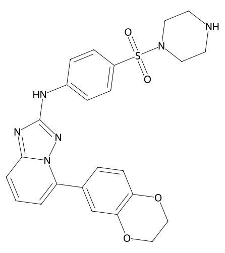 O=S(=O)(c1ccc(Nc2nc3cccc(-c4ccc5c(c4)OCCO5)n3n2)cc1)N1CCNCC1